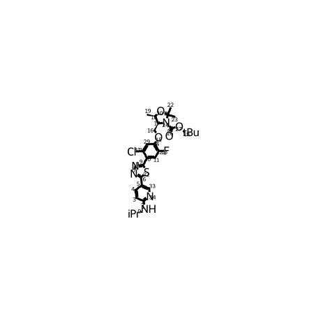 CC(C)Nc1ccc(-c2nnc(-c3cc(F)c(OC[C@H]4[C@@H](C)OC(C)(C)N4C(=O)OC(C)(C)C)cc3Cl)s2)cn1